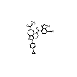 C=CC(=O)N1CCc2nn(-c3ccc(C4CC4)cc3)c3c2C(C1)N(C(=O)c1ccc(C#N)c2[nH]cnc12)CC3